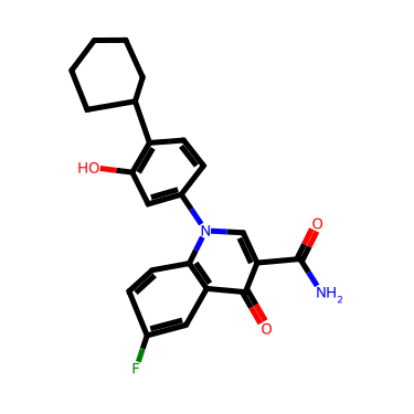 NC(=O)c1cn(-c2ccc(C3CCCCC3)c(O)c2)c2ccc(F)cc2c1=O